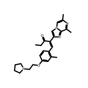 CCC(=O)/C(=C\c1ccc(OCCN2CCCC2)cc1C)c1cn2cc(C)nc(C)c2n1